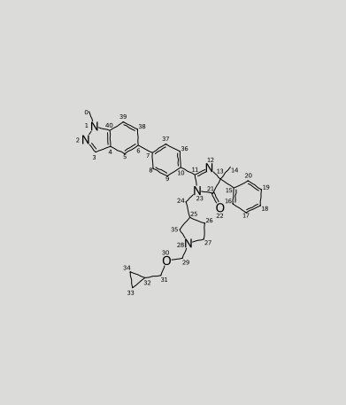 Cn1ncc2cc(-c3ccc(C4=NC(C)(c5ccccc5)C(=O)N4CC4CCN(COCC5CC5)C4)cc3)ccc21